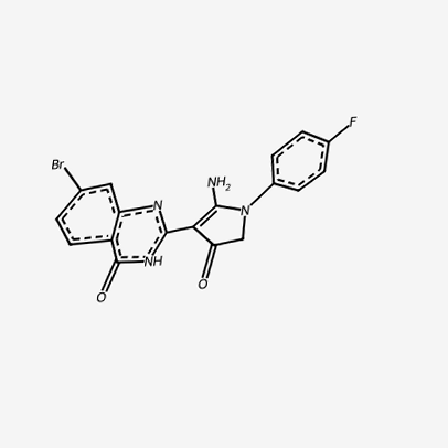 NC1=C(c2nc3cc(Br)ccc3c(=O)[nH]2)C(=O)CN1c1ccc(F)cc1